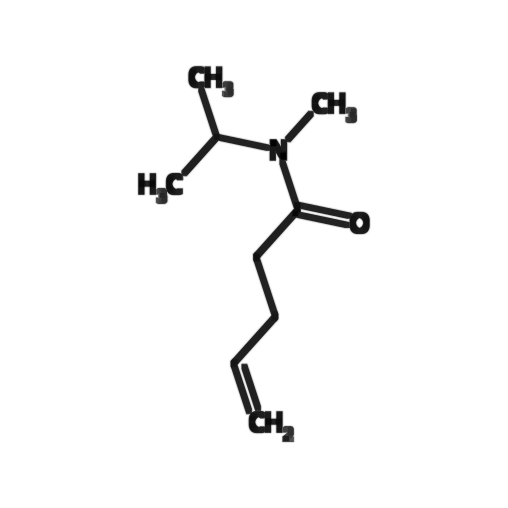 C=CCCC(=O)N(C)C(C)C